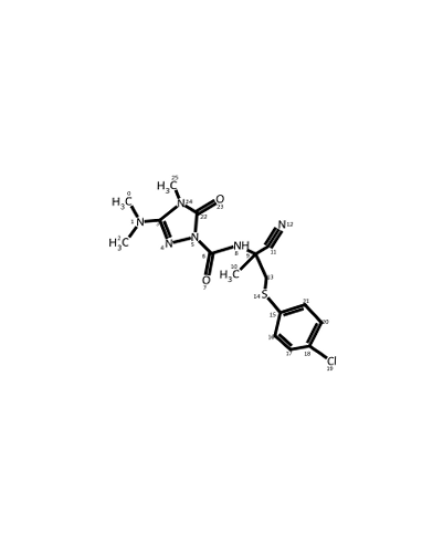 CN(C)c1nn(C(=O)NC(C)(C#N)CSc2ccc(Cl)cc2)c(=O)n1C